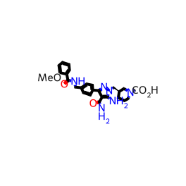 COc1ccccc1C(=O)NCc1ccc(-c2nn(C[C@@H]3CCCN(C(=O)O)C3)c(N)c2C(N)=O)cc1